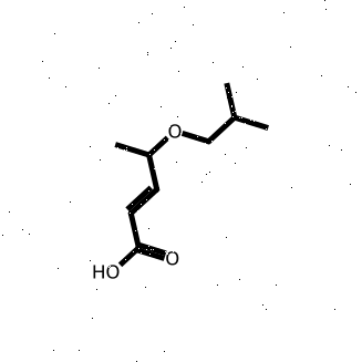 CC(C)COC(C)C=CC(=O)O